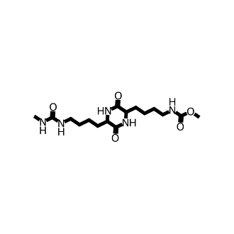 CNC(=O)NCCCCC1NC(=O)C(CCCCNC(=O)OC)NC1=O